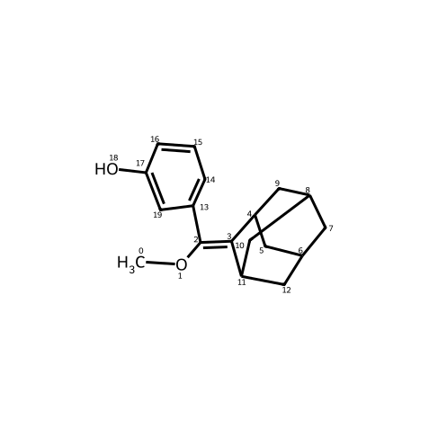 COC(=C1C2CC3CC(C2)CC1C3)c1cccc(O)c1